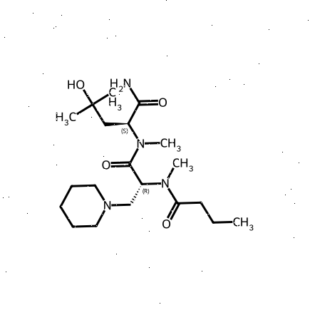 CCCC(=O)N(C)[C@H](CN1CCCCC1)C(=O)N(C)[C@@H](CC(C)(C)O)C(N)=O